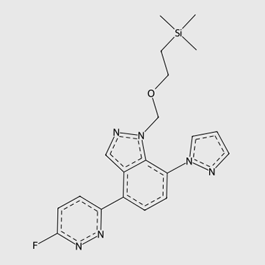 C[Si](C)(C)CCOCn1ncc2c(-c3ccc(F)nn3)ccc(-n3cccn3)c21